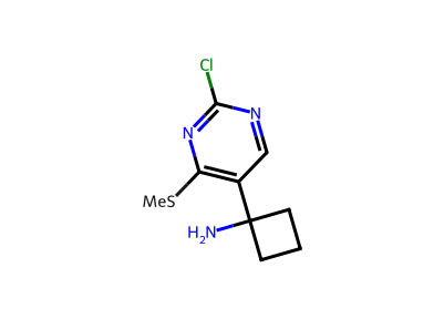 CSc1nc(Cl)ncc1C1(N)CCC1